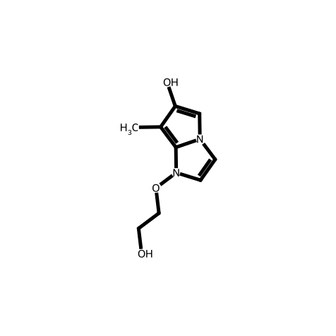 Cc1c(O)cn2ccn(OCCO)c12